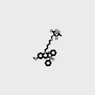 COc1ccc2c(c1)cc(P(=O)(c1ccccc1)c1ccccc1)c(=O)n2CCCCCSC[C@H](NC(C)=O)C(=O)O